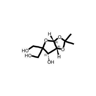 CC1(C)O[C@H]2OC(CO)(CO)[C@@H](O)[C@H]2O1